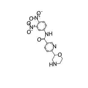 O=C(Nc1ccc([N+](=O)[O-])c([N+](=O)[O-])c1)c1ccc(C2CNCCO2)nc1